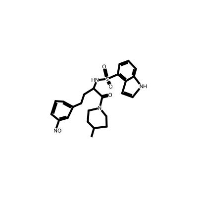 CC1CCN(C(=O)C(CCc2cccc(N=O)c2)NS(=O)(=O)c2cccc3[nH]ccc23)CC1